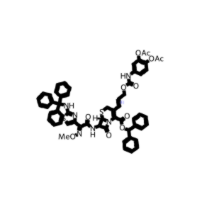 CON=C(C(=O)NC1C(=O)N2C(C(=O)OC(c3ccccc3)c3ccccc3)=C(/C=C/COC(=O)Nc3ccc(OC(C)=O)c(OC(C)=O)c3)CS[C@@H]12)c1csc(NC(c2ccccc2)(c2ccccc2)c2ccccc2)n1